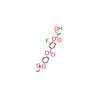 C=CC(=O)Oc1ccc(OC(=O)c2ccc(OC(=O)C(=C)CO)c(F)c2)cc1